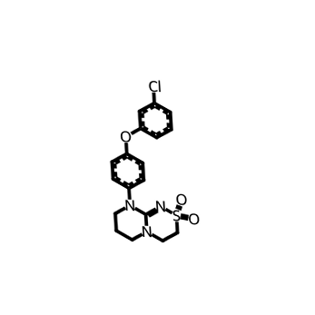 O=S1(=O)CCN2CCCN(c3ccc(Oc4cccc(Cl)c4)cc3)C2=N1